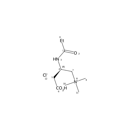 CCC(=O)N[C@H](CC(=O)O)C[N+](C)(C)C.[Cl-]